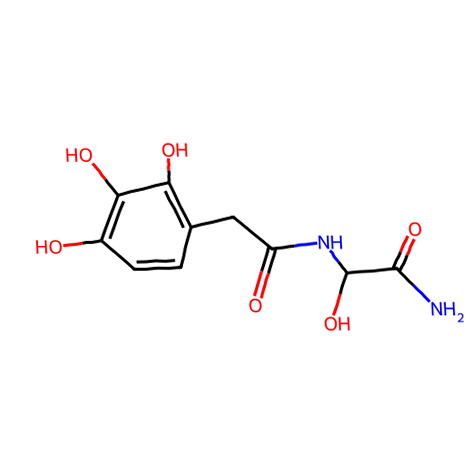 NC(=O)C(O)NC(=O)Cc1ccc(O)c(O)c1O